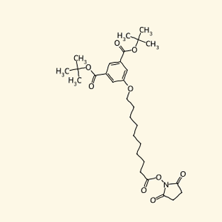 CC(C)(C)OC(=O)c1cc(OCCCCCCCCCC(=O)ON2C(=O)CCC2=O)cc(C(=O)OC(C)(C)C)c1